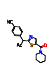 CC(=O)C(c1ccc(C#N)cc1)c1ncc(C(=O)N2CCCCC2)s1